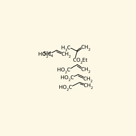 C=C(C)C(=O)OCC.C=CC(=O)O.C=CC(=O)O.C=CC(=O)O.C=CC(=O)O.[SiH4]